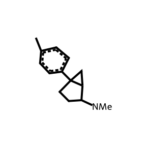 CNC1CCC2(c3ccc(C)cc3)CC12